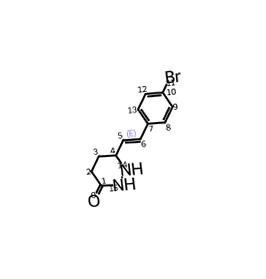 O=C1CCC(/C=C/c2ccc(Br)cc2)NN1